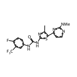 CNc1nccc(-c2sc(NC(=O)Nc3ccc(F)c(C(F)(F)F)c3)nc2C)n1